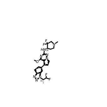 COc1nc(N[C@@H]2CCN(C)CC2(F)F)nn2ccc(-c3ccc4nnn([C@@H](C)C(F)F)c4c3)c12